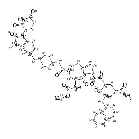 Cn1c(=O)n(C2CCC(=O)NC2=O)c2ccc(CC3CCC(CC(=O)N4CCC5=CC[C@@H](C(=O)N[C@@H](CCC(N)=O)C(=O)NCc6cccc7ccccc67)N5C(=O)[C@@H](NC(=O)OC(C)(C)C)C4)CC3)cc21